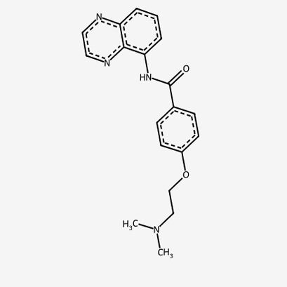 CN(C)CCOc1ccc(C(=O)Nc2cccc3nccnc23)cc1